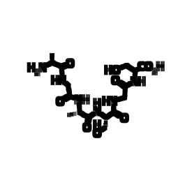 C[C@H](N)C(=O)NCC(=O)N[C@@H](C)C(=O)N[C@@H](CO)C(=O)NCC(=O)N[C@@H](CO)C(=O)O